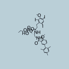 CCCOP(=O)(O)OC[C@@H](CNC(=O)c1cc(-c2c(C)cc(C)cc2C)ccc1OC)NC(=O)CCc1c(I)cc(I)c(OC)c1I